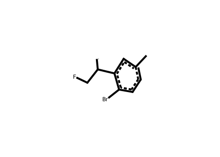 [CH2]C(CF)c1cc(C)ccc1Br